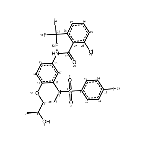 C[C@H](O)[C@H]1CN(S(=O)(=O)c2ccc(F)cc2)c2cc(NC(=O)c3c(Cl)cccc3C(F)(F)F)ccc2O1